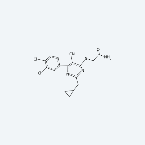 N#Cc1c(SCC(N)=O)nc(CC2CC2)nc1-c1ccc(Cl)c(Cl)c1